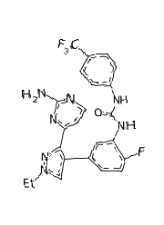 CCn1cc(-c2ccc(F)c(NC(=O)Nc3ccc(C(F)(F)F)cc3)c2)c(-c2ccnc(N)n2)n1